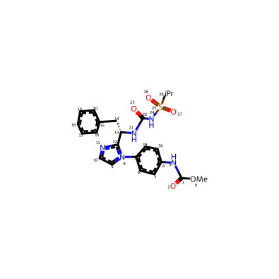 COC(=O)Nc1ccc(-n2ccnc2[C@H](Cc2ccccc2)NC(=O)NS(=O)(=O)C(C)C)cc1